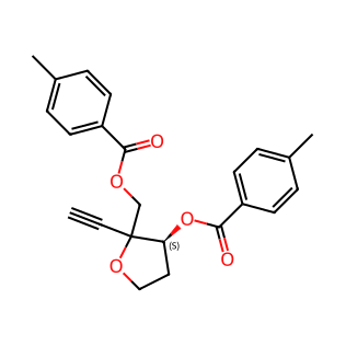 C#CC1(COC(=O)c2ccc(C)cc2)OCC[C@@H]1OC(=O)c1ccc(C)cc1